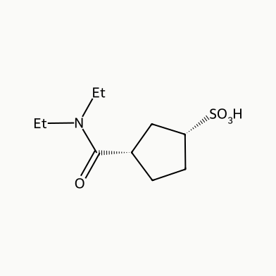 CCN(CC)C(=O)[C@H]1CC[C@@H](S(=O)(=O)O)C1